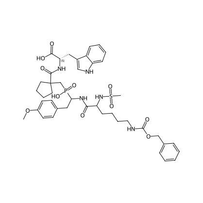 COc1ccc(CC(NC(=O)C(CCCCNC(=O)OCc2ccccc2)NS(C)(=O)=O)P(=O)(O)CC2(C(=O)N[C@@H](Cc3c[nH]c4ccccc34)C(=O)O)CCCC2)cc1